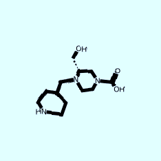 O=C(O)N1CCN(CC2CCNCC2)[C@H](CO)C1